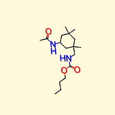 CCCCOC(=O)NCC1(C)CC(NC(C)=O)CC(C)(C)C1